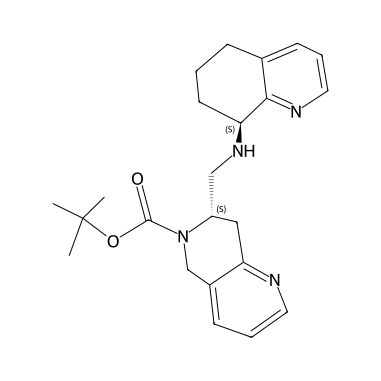 CC(C)(C)OC(=O)N1Cc2cccnc2C[C@H]1CN[C@H]1CCCc2cccnc21